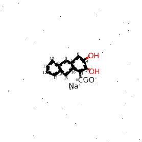 O=C([O-])c1c(O)c(O)cc2cc3ccccc3cc12.[Na+]